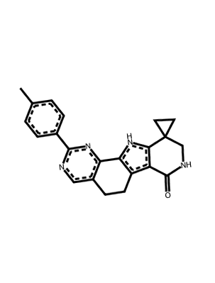 Cc1ccc(-c2ncc3c(n2)-c2[nH]c4c(c2CC3)C(=O)NCC42CC2)cc1